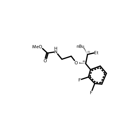 CCCC[C@H](CC)[C@@H](OCCNC(=O)OC)c1cccc(F)c1F